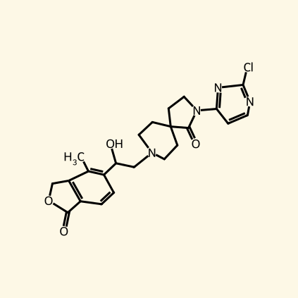 Cc1c(C(O)CN2CCC3(CC2)CCN(c2ccnc(Cl)n2)C3=O)ccc2c1COC2=O